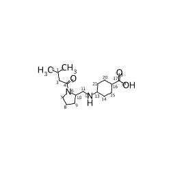 CC(C)CC(=O)N1CCCC1CNC1CCC(C(=O)O)CC1